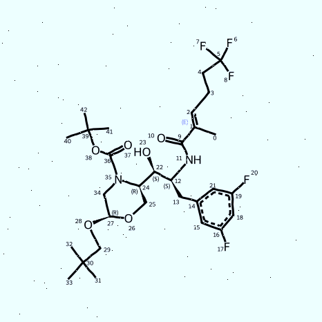 C/C(=C\CCC(F)(F)F)C(=O)N[C@@H](Cc1cc(F)cc(F)c1)[C@H](O)[C@H]1CO[C@@H](OCC(C)(C)C)CN1C(=O)OC(C)(C)C